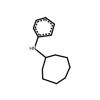 [c]1ccc(NC2CCCCCCC2)cc1